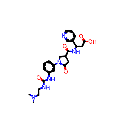 CN(C)CCNC(=O)Nc1cccc(N2CC(C(=O)NC(CC(=O)O)c3cccnc3)CC2=O)c1